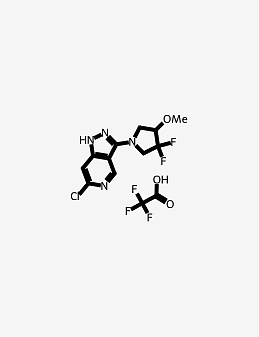 COC1CN(c2n[nH]c3cc(Cl)ncc23)CC1(F)F.O=C(O)C(F)(F)F